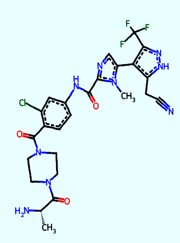 C[C@H](N)C(=O)N1CCN(C(=O)c2ccc(NC(=O)c3ncc(-c4c(C(F)(F)F)n[nH]c4CC#N)n3C)cc2Cl)CC1